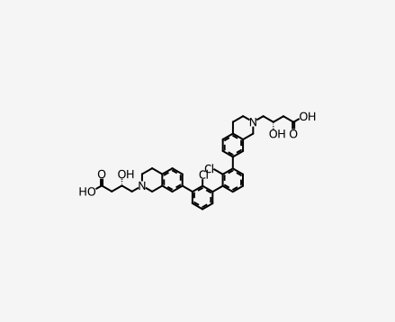 O=C(O)C[C@H](O)CN1CCc2ccc(-c3cccc(-c4cccc(-c5ccc6c(c5)CN(C[C@@H](O)CC(=O)O)CC6)c4Cl)c3Cl)cc2C1